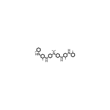 Cc1ccccc1Nc1ccc(Nc2ccc(N(c3ccc(Nc4ccc(Nc5ccccc5C)cc4C)cc3)C(C)C)cc2)c(C)c1